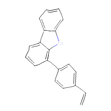 C=Cc1ccc(-c2cccc3c2[nH]c2ccccc23)cc1